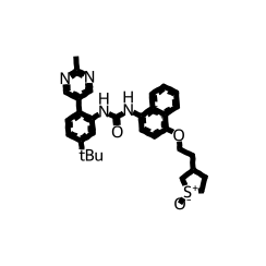 Cc1ncc(-c2ccc(C(C)(C)C)cc2NC(=O)Nc2ccc(OCCC3CC[S+]([O-])C3)c3ccccc23)cn1